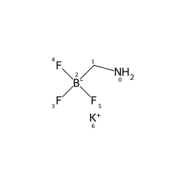 NC[B-](F)(F)F.[K+]